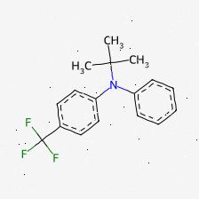 CC(C)(C)N(c1ccccc1)c1ccc(C(F)(F)F)cc1